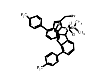 CC(C)CC1=Cc2c(-c3ccc(C(F)(F)F)cc3)cccc2[CH]1[Zr]([Cl])([Cl])([CH]1C(CC(C)C)=Cc2c(-c3ccc(C(F)(F)F)cc3)cccc21)[SiH](C)C